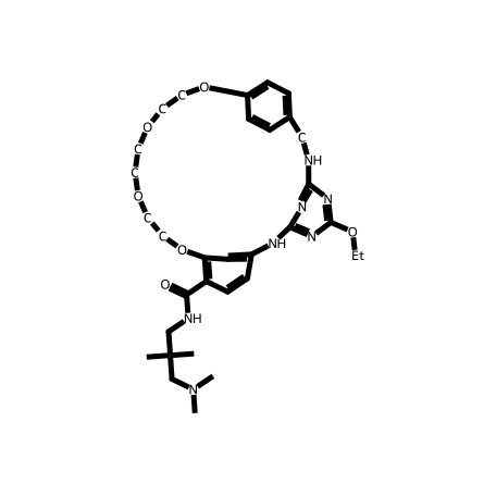 CCOc1nc2nc(n1)Nc1ccc(C(=O)NCC(C)(C)CN(C)C)c(c1)OCCOCCOCCOc1ccc(cc1)CN2